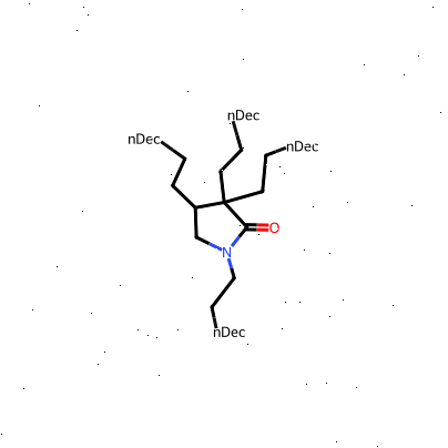 CCCCCCCCCCCCC1CN(CCCCCCCCCCCC)C(=O)C1(CCCCCCCCCCCC)CCCCCCCCCCCC